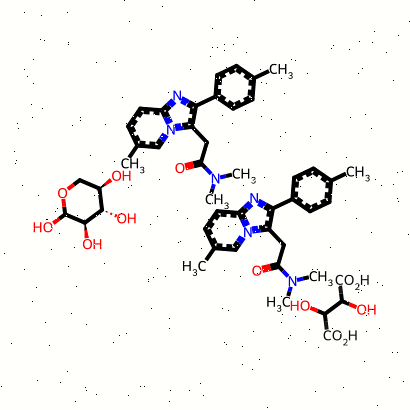 Cc1ccc(-c2nc3ccc(C)cn3c2CC(=O)N(C)C)cc1.Cc1ccc(-c2nc3ccc(C)cn3c2CC(=O)N(C)C)cc1.O=C(O)C(O)C(O)C(=O)O.OC1OC[C@@H](O)[C@H](O)[C@H]1O